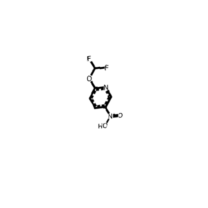 O=[N+](O)c1ccc(OC(F)F)nc1